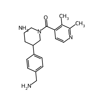 Cc1nccc(C(=O)N2CCCC(c3ccc(CN)cc3)C2)c1C.N